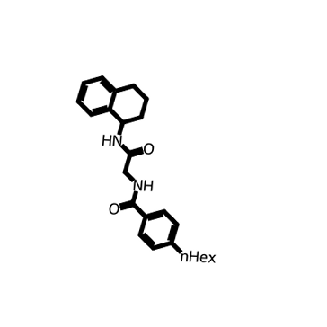 CCCCCCc1ccc(C(=O)NCC(=O)NC2CCCc3ccccc32)cc1